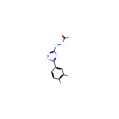 O=C(O)NNc1n[nH]c(-c2ccc(Cl)c(Cl)c2)n1